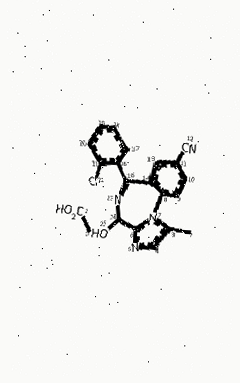 CC(=O)O.Cc1cnc2n1-c1ccc(C#N)cc1C(c1ccccc1Cl)=NC2O